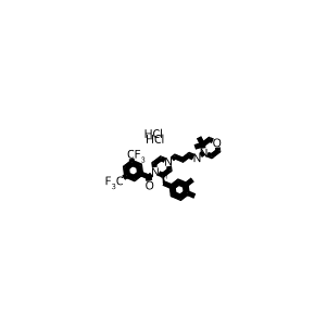 Cc1ccc(C[C@@H]2CN(CCC=NN3CCOCC3(C)C)CCN2C(=O)c2cc(C(F)(F)F)cc(C(F)(F)F)c2)cc1C.Cl.Cl